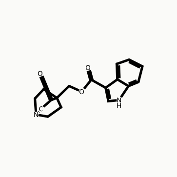 O=C(OCC12CCN(CC1)CC2=O)c1c[nH]c2ccccc12